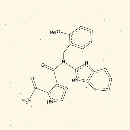 COc1ccccc1CN(C(=O)c1nc[nH]c1C(N)=O)c1nc2ccccc2[nH]1